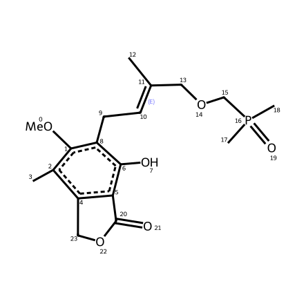 COc1c(C)c2c(c(O)c1C/C=C(\C)COCP(C)(C)=O)C(=O)OC2